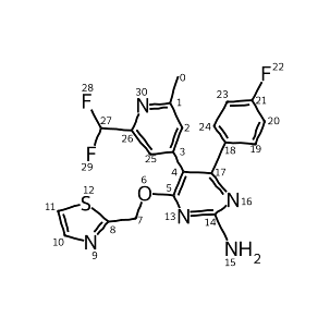 Cc1cc(-c2c(OCc3nccs3)nc(N)nc2-c2ccc(F)cc2)cc(C(F)F)n1